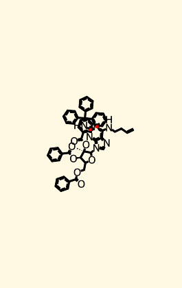 C=CCCNc1nc(NC(c2ccccc2)(c2ccccc2)c2ccccc2)nc2c1ncn2C1OC(COC(=O)c2ccccc2)[C@@H](OC(=O)c2ccccc2)[C@@]1(C)OC(=O)c1ccccc1